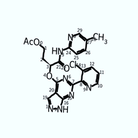 CC(=O)OCC[C@H](Oc1nc(-c2ncccc2Cl)nc2[nH]ncc12)C(=O)Nc1ccc(C)cn1